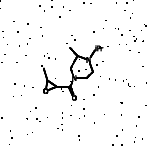 CC1OC1C(=O)N1CCN(C(C)C)C(C)C1